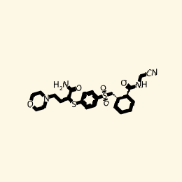 N#CCNC(=O)[C@H]1CCCC[C@@H]1CS(=O)(=O)c1ccc(SC(CCN2CCOCC2)C(N)=O)cc1